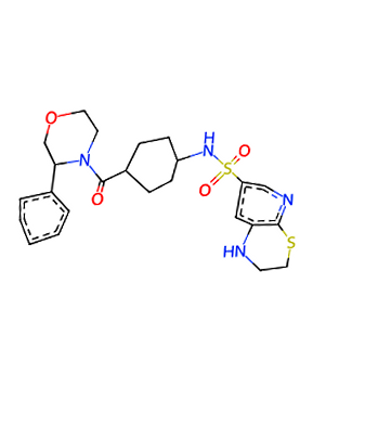 O=C(C1CCC(NS(=O)(=O)c2cnc3c(c2)NCCS3)CC1)N1CCOCC1c1ccccc1